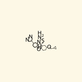 NC1=N[C@@]2(CS1)c1cc(-c3cncnc3)ccc1OC1CCC(OCC3CC3)C[C@@H]12